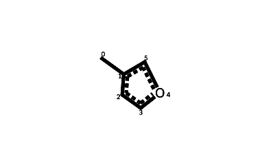 Cc1ccoc1